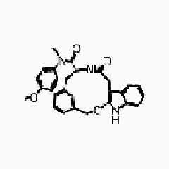 COc1ccc(N(C)C(=O)[C@@H]2Cc3cccc(c3)CCc3[nH]c4ccccc4c3CC(=O)N2)cc1